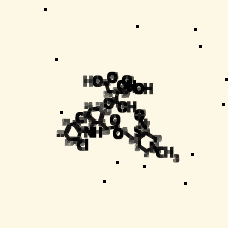 CN1CCC(CCOC(=O)Cc2ccccc2Nc2c(Cl)cccc2Cl)(SN=O)CC1.O=C(O)CC(O)(CC(=O)O)C(=O)O